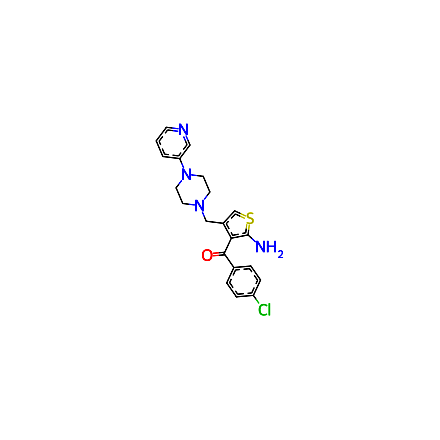 Nc1scc(CN2CCN(c3cccnc3)CC2)c1C(=O)c1ccc(Cl)cc1